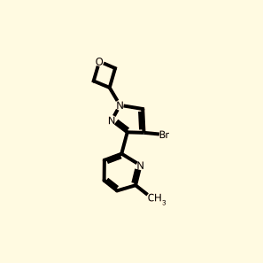 Cc1cccc(-c2nn(C3COC3)cc2Br)n1